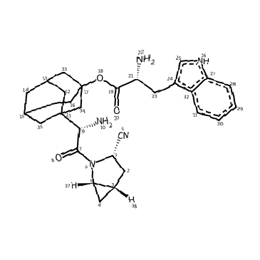 N#C[C@@H]1C[C@@H]2C[C@@H]2N1C(=O)[C@@H](N)C12CC3CC(CC(OC(=O)[C@H](N)Cc4c[nH]c5ccccc45)(C3)C1)C2